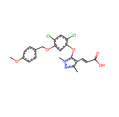 COc1ccc(COc2cc(Oc3c(/C=C/C(=O)O)c(C)nn3C)c(Cl)cc2Cl)cc1